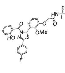 CCC(C)(C)NC(=O)COc1cccc(C2SC(c3ccc(F)cc3)=NN2C(=O)c2ccccc2O)c1OC